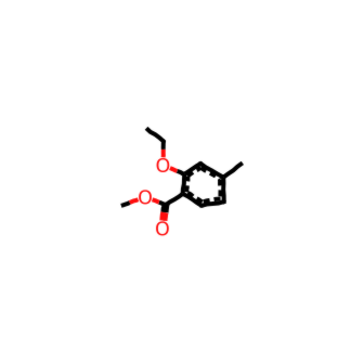 CCOc1cc(C)ccc1C(=O)OC